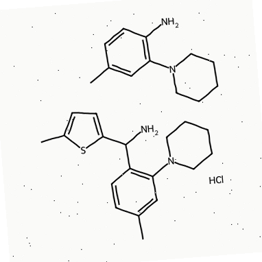 Cc1ccc(C(N)c2ccc(C)s2)c(N2CCCCC2)c1.Cc1ccc(N)c(N2CCCCC2)c1.Cl